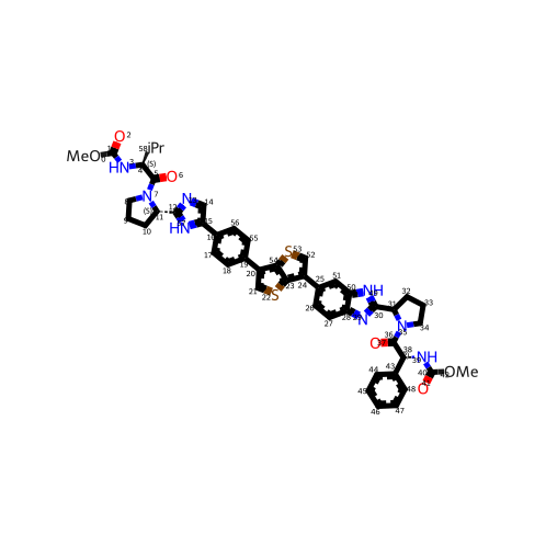 COC(=O)N[C@H](C(=O)N1CCC[C@H]1c1ncc(-c2ccc(-c3csc4c(-c5ccc6nc(C7CCCN7C(=O)[C@H](NC(=O)OC)c7ccccc7)[nH]c6c5)csc34)cc2)[nH]1)C(C)C